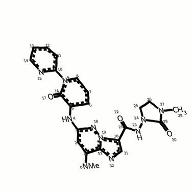 CNc1cc(Nc2cccn(-c3ccccn3)c2=O)nn2c(C(=O)NN3CCN(C)C3=O)cnc12